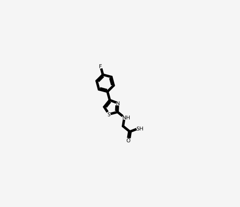 O=C(S)CNc1nc(-c2ccc(F)cc2)cs1